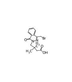 CC(C)(CC(=O)O)Cn1nc(CBr)c2ccccc2c1=O